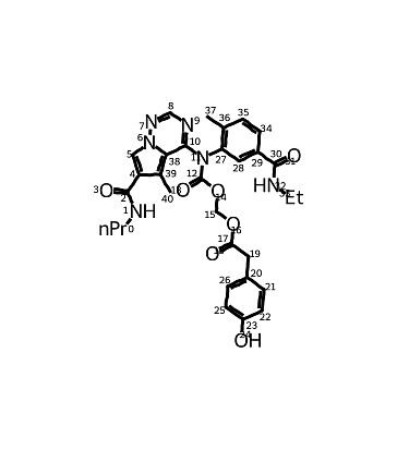 CCCNC(=O)c1cn2ncnc(N(C(=O)OCOC(=O)Cc3ccc(O)cc3)c3cc(C(=O)NCC)ccc3C)c2c1C